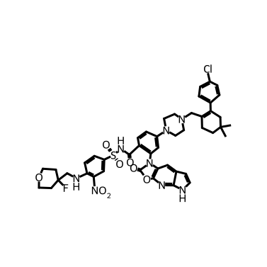 CC1(C)CCC(CN2CCN(c3ccc(C(=O)NS(=O)(=O)c4ccc(NCC5(F)CCOCC5)c([N+](=O)[O-])c4)c(-n4c(=O)oc5nc6[nH]ccc6cc54)c3)CC2)=C(c2ccc(Cl)cc2)C1